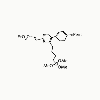 CCCCCc1ccc(-c2ccc(/C=C/C(=O)OCC)cc2CCCC[Si](OC)(OC)OC)cc1